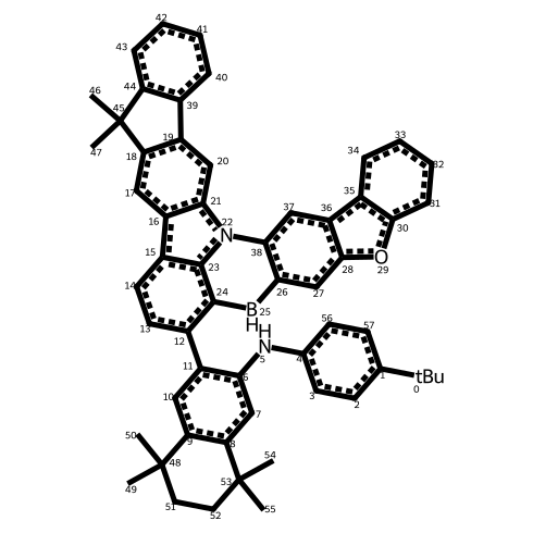 CC(C)(C)c1ccc(Nc2cc3c(cc2-c2ccc4c5cc6c(cc5n5c4c2Bc2cc4oc7ccccc7c4cc2-5)-c2ccccc2C6(C)C)C(C)(C)CCC3(C)C)cc1